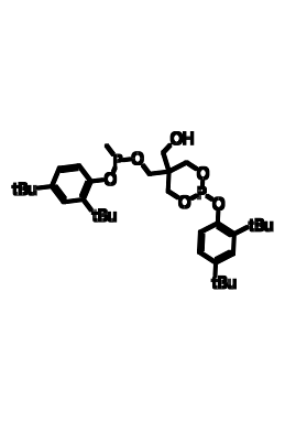 CP(OCC1(CO)COP(Oc2ccc(C(C)(C)C)cc2C(C)(C)C)OC1)Oc1ccc(C(C)(C)C)cc1C(C)(C)C